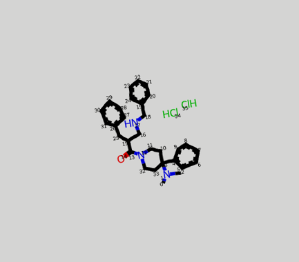 CN(C)C1(c2ccccc2)CCN(C(=O)C(CNCc2ccccc2)Cc2ccccc2)CC1.Cl.Cl